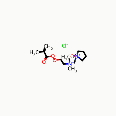 C=C(C)C(=O)OOCC[N+](C)(C)C[N+]1([O-])CCCC1.[Cl-]